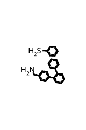 Cc1ccccc1.NCc1ccc(-c2ccccc2-c2ccccc2)cc1.S